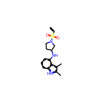 C=CS(=O)(=O)N1CCC(Nc2cccc3[nH]c(C)c(C)c23)C1